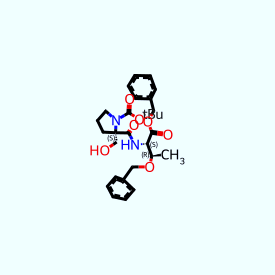 C[C@@H](OCc1ccccc1)[C@H](NC(=O)[C@@]1(CO)CCCN1C(=O)OC(C)(C)C)C(=O)OCc1ccccc1